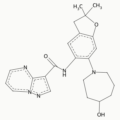 CC1(C)Cc2cc(NC(=O)c3cnn4cccnc34)c(N3CCCC(O)CC3)cc2O1